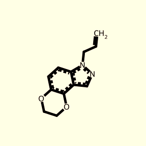 C=CCn1ncc2c3c(ccc21)OCCO3